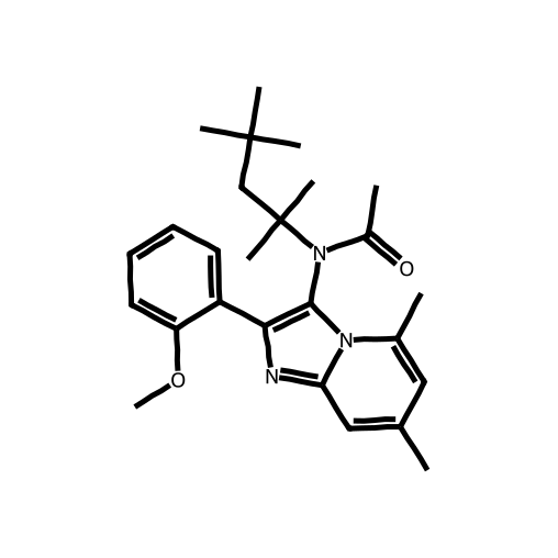 COc1ccccc1-c1nc2cc(C)cc(C)n2c1N(C(C)=O)C(C)(C)CC(C)(C)C